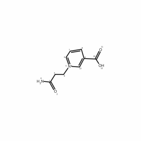 NC(=O)CC[n+]1cccc(C(=O)O)c1